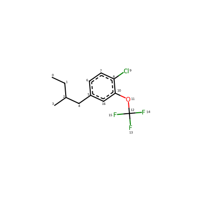 CCC(C)Cc1ccc(Cl)c(OC(F)(F)F)c1